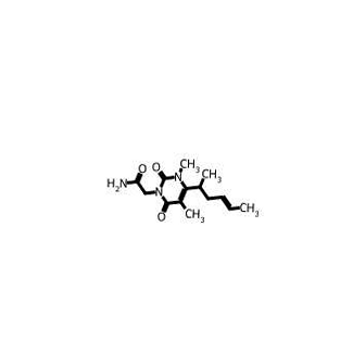 C/C=C/CC(C)c1c(C)c(=O)n(CC(N)=O)c(=O)n1C